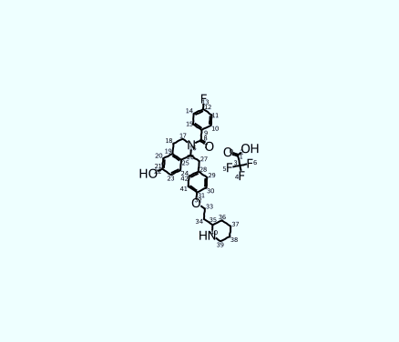 O=C(O)C(F)(F)F.O=C(c1ccc(F)cc1)N1CCc2cc(O)ccc2C1Cc1ccc(OCCC2CCCCN2)cc1